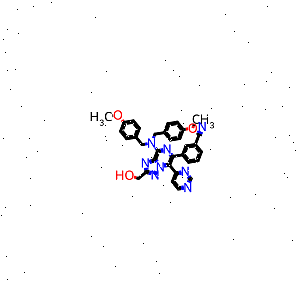 COc1ccc(CN(Cc2ccc(OC)cc2)c2nc(-c3cccc(C#N)c3)c(-c3ccncn3)n3nc(CO)nc23)cc1